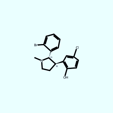 CN1CC[C@H](c2cc(Cl)ccc2O)[C@H]1c1ccccc1Br